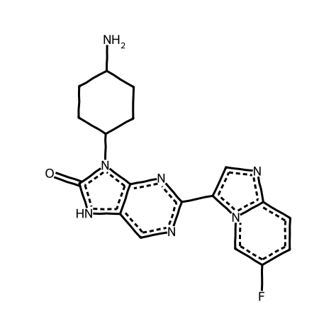 NC1CCC(n2c(=O)[nH]c3cnc(-c4cnc5ccc(F)cn45)nc32)CC1